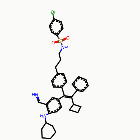 N=Cc1cc(/C(=C(/c2ccccc2)C2CCC2)c2ccc(CCCNS(=O)(=O)c3ccc(Br)cc3)cc2)ccc1NC1CCCCC1